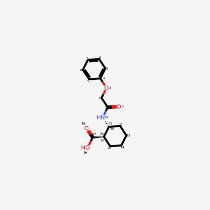 O=C(COc1ccccc1)N[C@@H]1CCCC[C@H]1C(=O)O